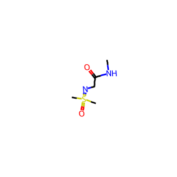 CNC(=O)CN=S(C)(C)=O